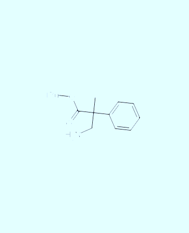 CC(C)(C)OC(=O)C(C)(CN)c1cc[c]cc1